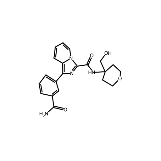 NC(=O)c1cccc(-c2nc(C(=O)NC3(CO)CCOCC3)n3ccccc23)c1